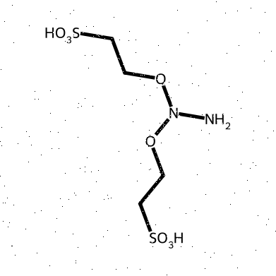 NN(OCCS(=O)(=O)O)OCCS(=O)(=O)O